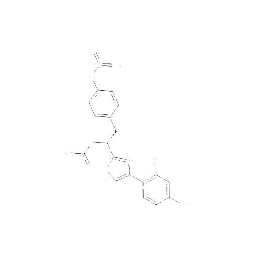 COc1ccc(-c2csc([C@H](Cc3ccc(N[SH](=O)=O)cc3)NC(=O)C(C)(C)C)n2)c(C)c1